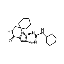 O=C1NCC2(CCCCC2)n2c1cc1cnc(NC3CCCCC3)nc12